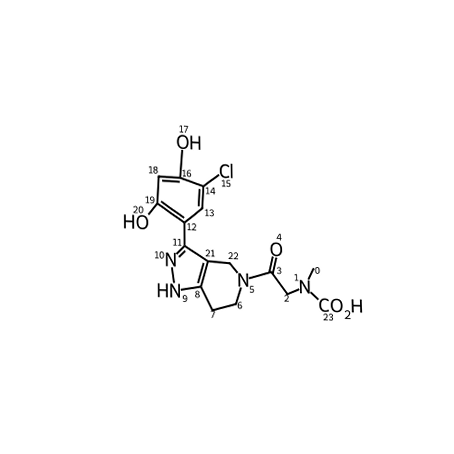 CN(CC(=O)N1CCc2[nH]nc(-c3cc(Cl)c(O)cc3O)c2C1)C(=O)O